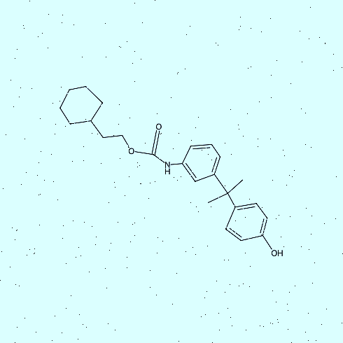 CC(C)(c1ccc(O)cc1)c1cccc(NC(=O)OCCC2CCCCC2)c1